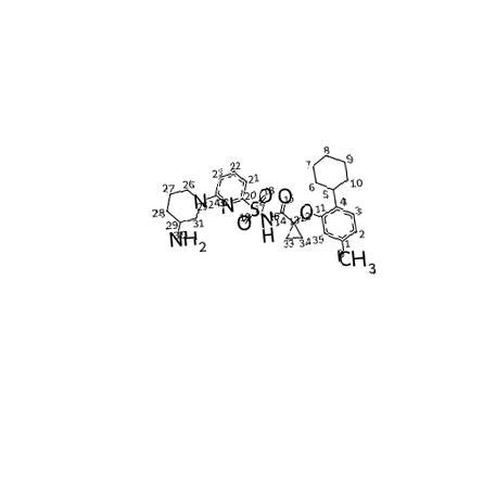 Cc1ccc(C2CCCCC2)c(OC2(C(=O)NS(=O)(=O)c3cccc(N4CCCC(N)C4)n3)CC2)c1